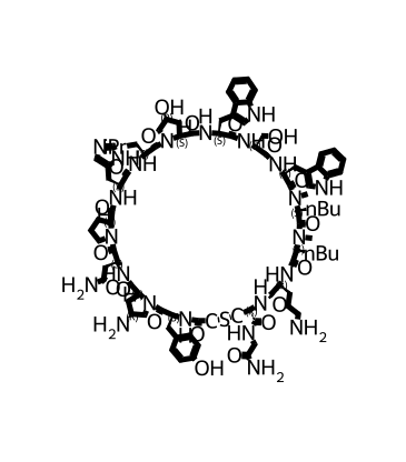 CCCC[C@H]1C(=O)N(C)[C@@H](CCCC)C(=O)N[C@@H](CCCN)C(=O)N[C@H](C(=O)NCC(N)=O)CSCC(=O)N[C@@H](Cc2ccc(O)cc2)C(=O)N2C[C@H](N)C[C@H]2C(=O)N[C@@H](CC(N)=O)C(=O)N2CCC[C@H]2C(=O)N[C@@H](Cc2cnc[nH]2)C(=O)N[C@@H](CC(C)C)C(=O)N2C[C@H](O)C[C@H]2C(=O)N[C@@H](Cc2c[nH]c3ccccc23)C(=O)N[C@@H](CO)C(=O)N[C@@H](Cc2c[nH]c3ccccc23)C(=O)N1C